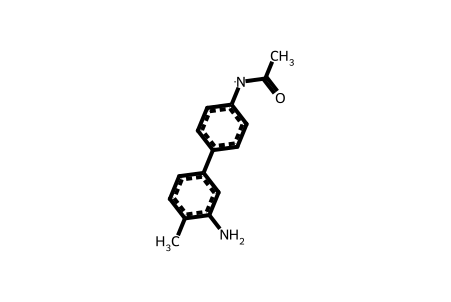 CC(=O)[N]c1ccc(-c2ccc(C)c(N)c2)cc1